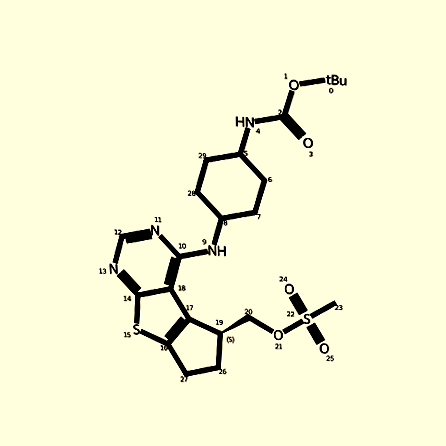 CC(C)(C)OC(=O)NC1CCC(Nc2ncnc3sc4c(c23)[C@@H](COS(C)(=O)=O)CC4)CC1